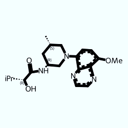 COc1ccc(N2C[C@@H](C)C[C@@H](NC(=O)[C@H](O)C(C)C)C2)c2nccnc12